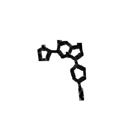 N#Cc1ccc(-c2cnc3cnc(-c4cccs4)cn23)cc1